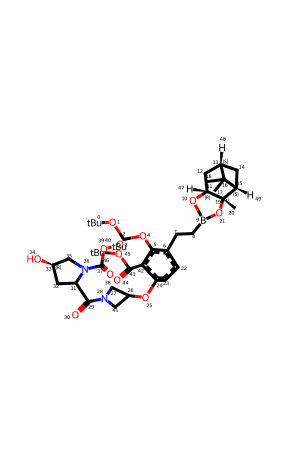 CC(C)(C)OC(=O)Oc1c(CCB2O[C@@H]3C[C@@H]4C[C@@H](C4(C)C)[C@]3(C)O2)ccc(OC2CN(C(=O)C3C[C@@H](O)CN3C(=O)OC(C)(C)C)C2)c1C(=O)OC(C)(C)C